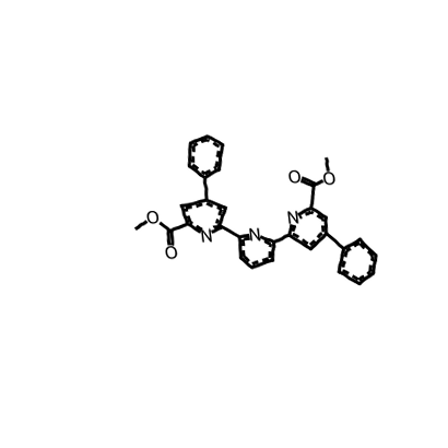 COC(=O)c1cc(-c2ccccc2)cc(-c2cccc(-c3cc(-c4ccccc4)cc(C(=O)OC)n3)n2)n1